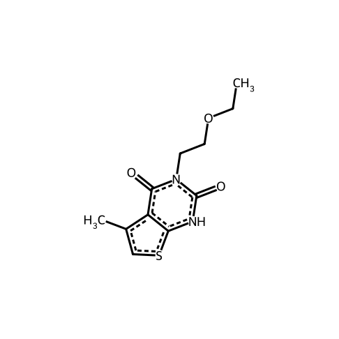 CCOCCn1c(=O)[nH]c2scc(C)c2c1=O